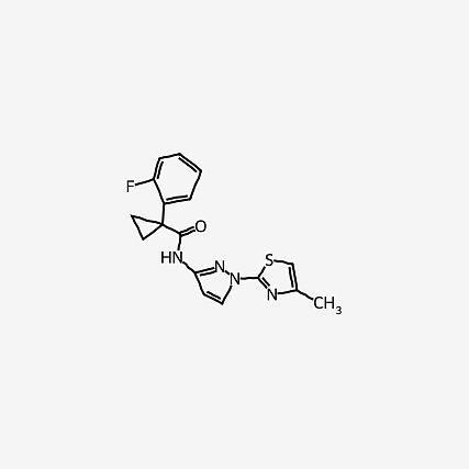 Cc1csc(-n2ccc(NC(=O)C3(c4ccccc4F)CC3)n2)n1